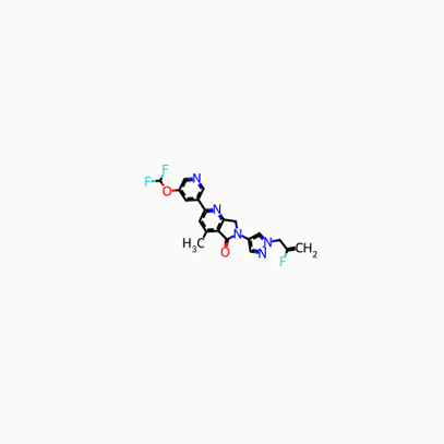 C=C(F)Cn1cc(N2Cc3nc(-c4cncc(OC(F)F)c4)cc(C)c3C2=O)cn1